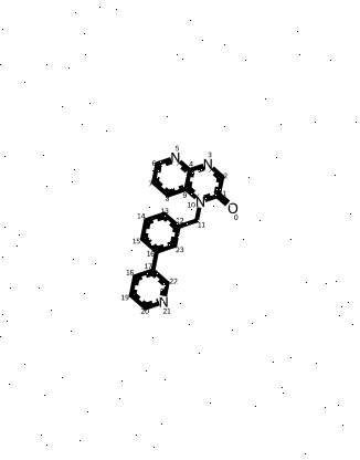 O=c1cnc2ncccc2n1Cc1cccc(-c2cccnc2)c1